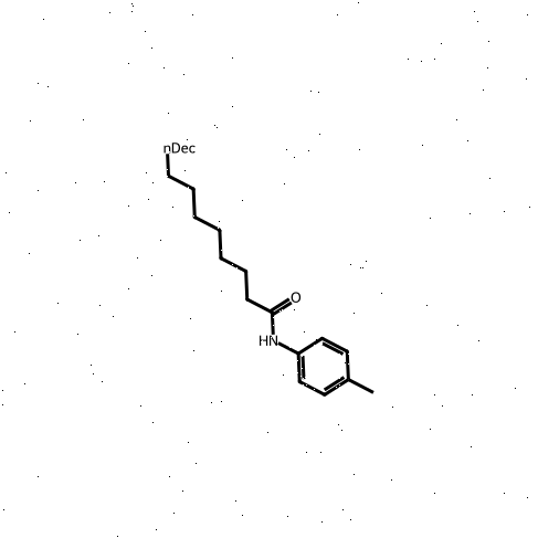 CCCCCCCCCCCCCCCCCC(=O)Nc1ccc(C)cc1